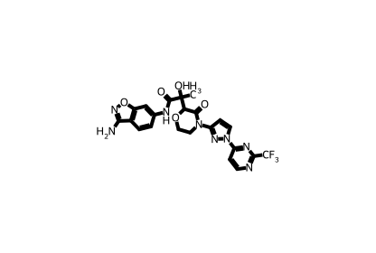 CC(O)(C(=O)Nc1ccc2c(N)noc2c1)C1OCCN(c2ccn(-c3ccnc(C(F)(F)F)n3)n2)C1=O